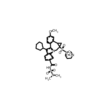 COc1ccc2c(c1)C1CC1(S(=O)(=O)N1CCN3CCC1CC3)Cn1c-2c(C2CCCCC2)c2ccc(C(=O)NS(=O)(=O)N(C)C)cc21